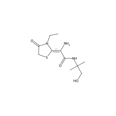 CCN1C(=O)CS/C1=C(/N)C(=O)NC(C)(C)CO